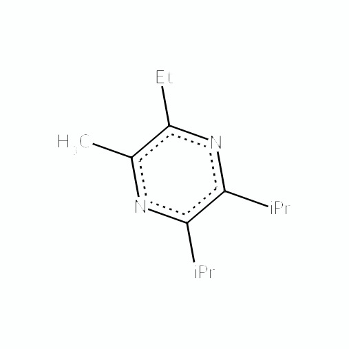 CCc1nc(C(C)C)c(C(C)C)nc1C